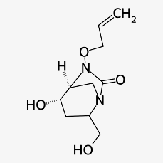 C=CCON1C(=O)N2C[C@H]1[C@@H](O)CC2CO